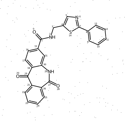 O=C(NCc1cnc(-c2ccccc2)s1)c1ccc2c(=O)c3ccccc3c(=O)[nH]c2c1